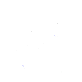 Fc1ccc(-c2nc(-c3ccccc3)nc3ccc(-c4cccnc4)cc23)cc1